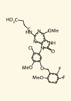 COc1cc(Cl)c(-n2c(=O)[nH]c3c(OC)nc(NCCCC(=O)O)nc32)cc1OCc1c(OC)ccc(F)c1F